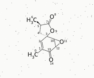 CC1=C[C@]2(C[C@@H](C)C(=O)O2)C2OC2C1=O